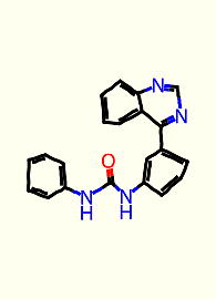 O=C(Nc1ccccc1)Nc1cccc(-c2ncnc3ccccc23)c1